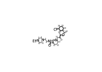 CCN1CCN(CCNC(=O)C2CCCN(C/C(C)=C(\C)OC(C)c3cccc(Cl)c3)C2)CC1